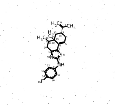 C=C(C)[C@@H]1CC=C2c3sc(Nc4ccc(F)cc4)nc3C[C@@H](C)[C@]2(C)C1